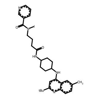 Cc1ccc2nc(C(C)(C)C)cc(NC3CCC(NC(=O)CCCN(I)C(=O)c4cccnc4)CC3)c2c1